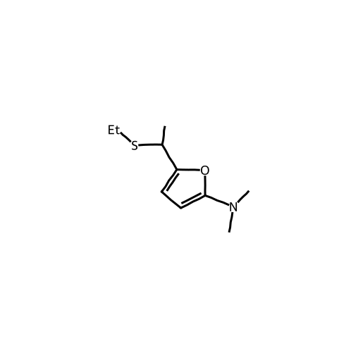 [CH2]CSC(C)c1ccc(N(C)C)o1